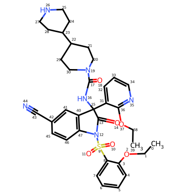 CCOc1ccccc1S(=O)(=O)N1C(=O)C(NC(=O)N2CCC(C3CCNCC3)CC2)(c2cccnc2OCC)c2cc(C#N)ccc21